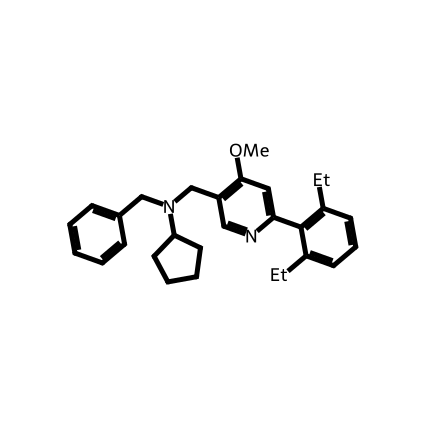 CCc1cccc(CC)c1-c1cc(OC)c(CN(Cc2ccccc2)C2CCCC2)cn1